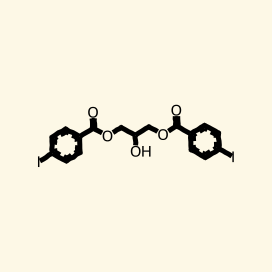 O=C(OCC(O)COC(=O)c1ccc(I)cc1)c1ccc(I)cc1